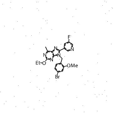 CCOc1nc(C)c2nc(-c3cncc(F)c3)n(Cc3ccc(Br)cc3OC)c2n1